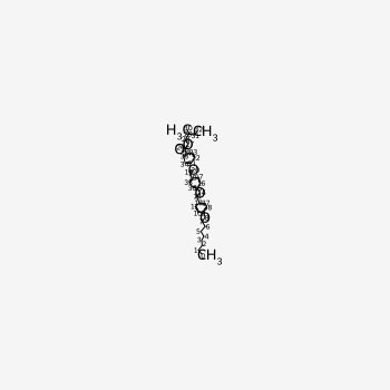 CCCCCCCCOc1ccc(COc2ccc(COc3ccc(C(=O)OCC(C)CC)cc3)cc2)cc1